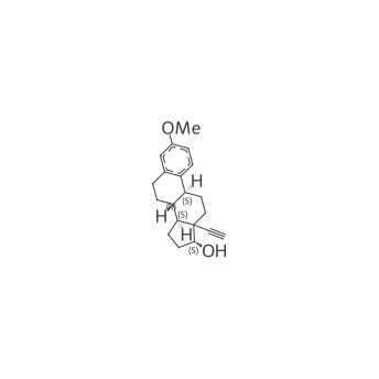 C#CC12CC[C@@H]3c4ccc(OC)cc4CC[C@H]3[C@@H]1CC[C@@H]2O